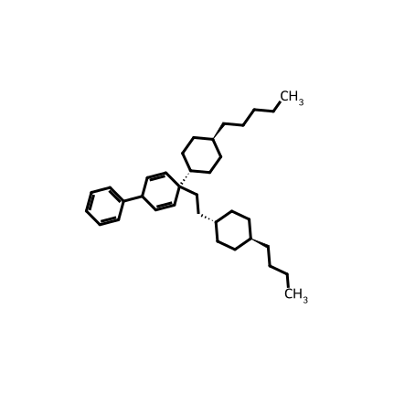 CCCCC[C@H]1CC[C@H](C2(CC[C@H]3CC[C@H](CCCC)CC3)C=CC(c3ccccc3)C=C2)CC1